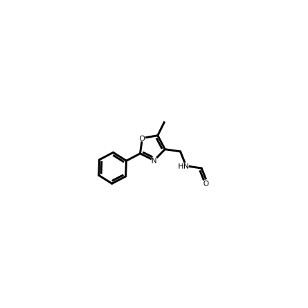 Cc1oc(-c2ccccc2)nc1CNC=O